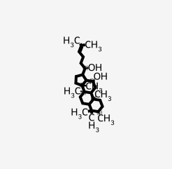 CC(C)=CCC[C@@H](O)C1CC[C@]2(C)C1[C@H](O)CC1[C@@]3(C)CC[C@H](C)C(C)(C)C3CC[C@]12C